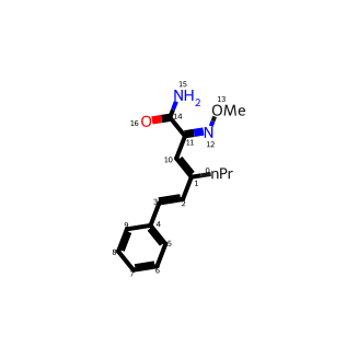 CCCC(C=Cc1ccccc1)=CC(=NOC)C(N)=O